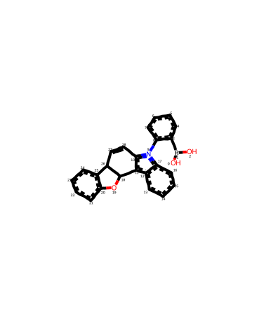 OB(O)c1ccccc1-n1c2c(c3ccccc31)C1Oc3ccccc3C1C=C2